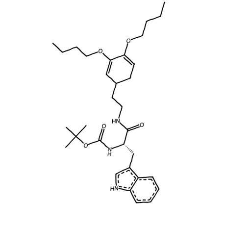 CCCCOC1=CCC(CCNC(=O)[C@H](Cc2c[nH]c3ccccc23)NC(=O)OC(C)(C)C)C=C1OCCCC